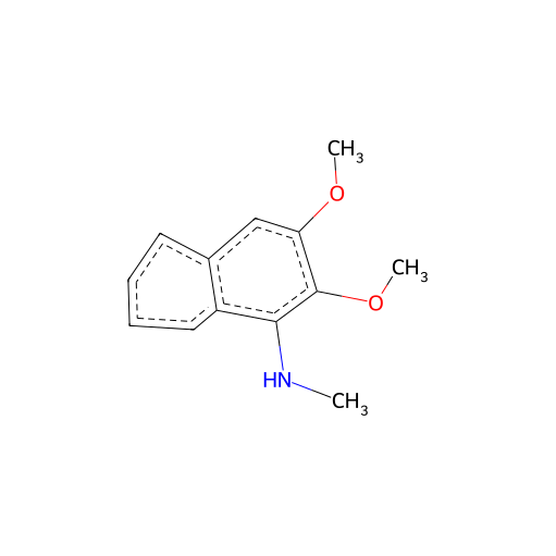 CNc1c(OC)c(OC)cc2ccccc12